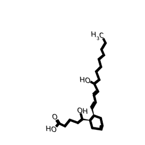 CCCCCCCCC(O)C=CC=C[C@H]1CC=CC[C@H]1C(O)CCCC(=O)O